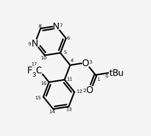 CC(C)(C)C(=O)OC(c1cncnc1)c1ccccc1C(F)(F)F